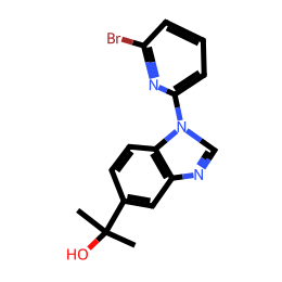 CC(C)(O)c1ccc2c(c1)ncn2-c1cccc(Br)n1